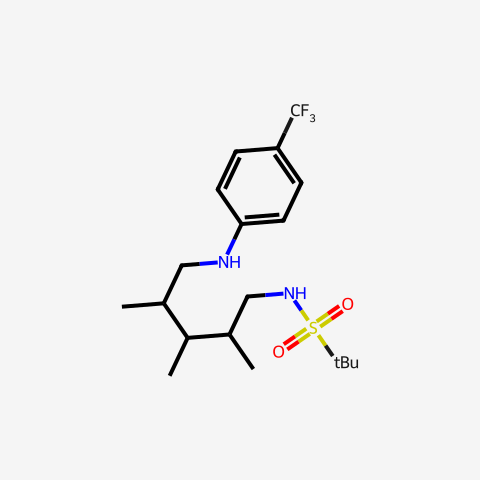 CC(CNc1ccc(C(F)(F)F)cc1)C(C)C(C)CNS(=O)(=O)C(C)(C)C